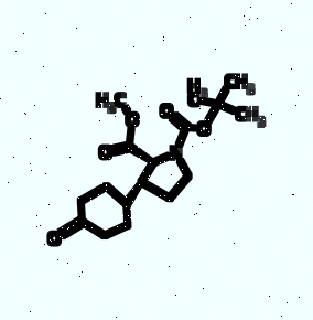 COC(=O)[C@@H]1[C@H](C2CCC(=O)CC2)CCN1C(=O)OC(C)(C)C